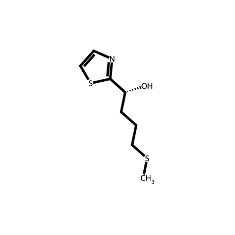 CSCCC[C@@H](O)c1nccs1